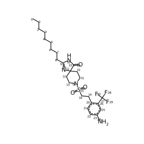 CCCCCCCCCC1=NC2(CCN(S(=O)(=O)CCc3ccc(N)cc3C(F)(F)F)CC2)C(=O)N1